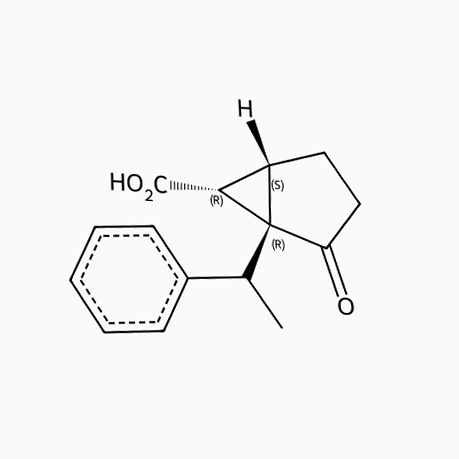 CC(c1ccccc1)[C@]12C(=O)CC[C@H]1[C@H]2C(=O)O